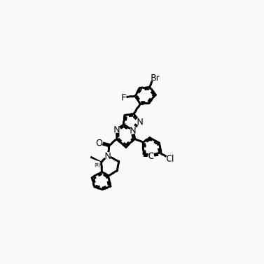 C[C@@H]1c2ccccc2CCN1C(=O)c1cc(-c2ccc(Cl)cc2)n2nc(-c3ccc(Br)cc3F)cc2n1